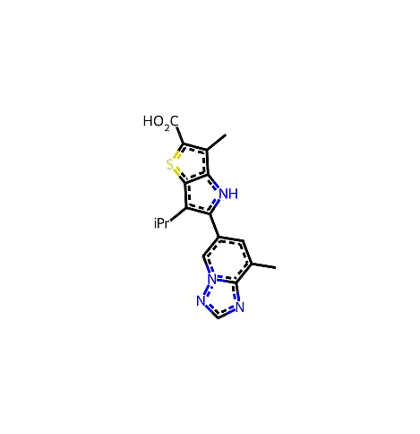 Cc1c(C(=O)O)sc2c(C(C)C)c(-c3cc(C)c4ncnn4c3)[nH]c12